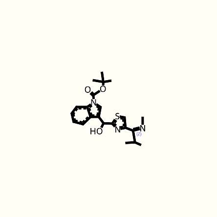 C/N=C(\c1csc(C(O)c2cn(C(=O)OC(C)(C)C)c3ccccc23)n1)C(C)C